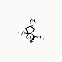 CC(=N)N1C[C@@H](C)CC1(C)C